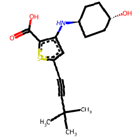 CC(C)(C)C#Cc1cc(N[C@H]2CC[C@H](O)CC2)c(C(=O)O)s1